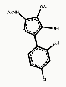 CC(=O)Nc1oc(-c2ccc(Cl)cc2Cl)c(O)c1OC(C)=O